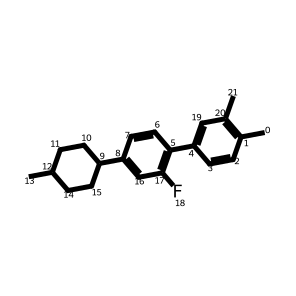 Cc1ccc(-c2ccc(C3CCC(C)CC3)cc2F)cc1C